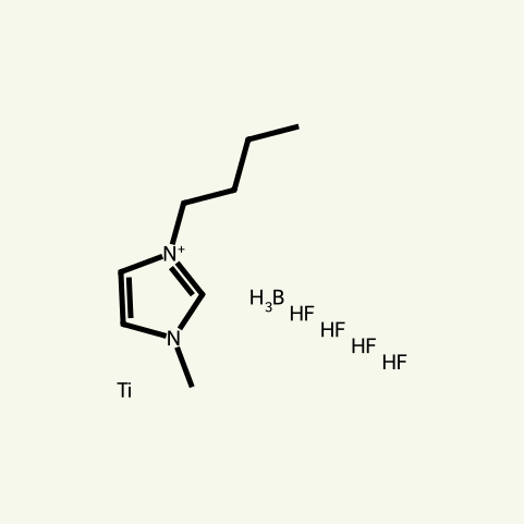 B.CCCC[n+]1ccn(C)c1.F.F.F.F.[Ti]